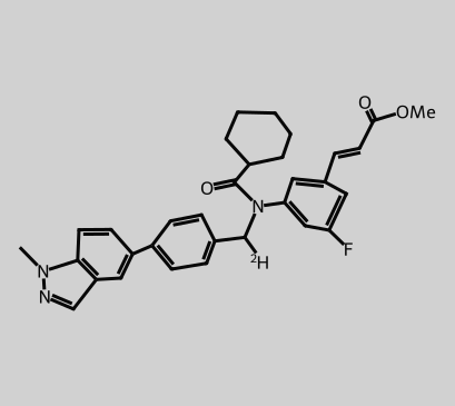 [2H]C(c1ccc(-c2ccc3c(cnn3C)c2)cc1)N(C(=O)C1CCCCC1)c1cc(F)cc(/C=C/C(=O)OC)c1